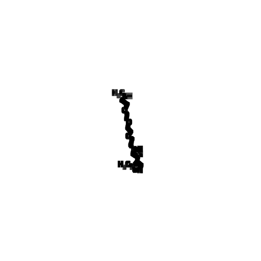 CNCCOCCOCCOCCn1cc(-c2cncn2C)nn1